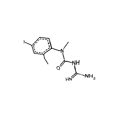 Cc1cc(I)ccc1N(C)C(=O)NC(=N)N